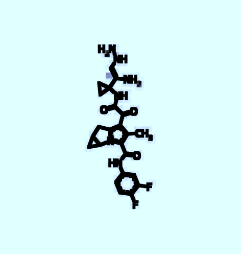 Cc1c(C(=O)C(=O)NC2(/C(N)=C/NN)CC2)c2n(c1C(=O)Nc1ccc(F)c(F)c1)C1CC1C2